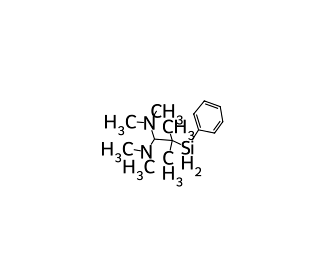 CN(C)C(N(C)C)C(C)(C)[SiH2]c1ccccc1